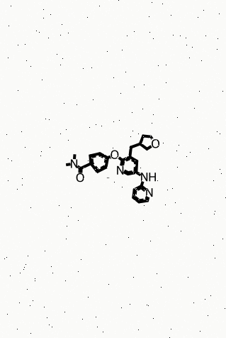 CN(C)C(=O)c1ccc(Oc2ncc(Nc3ccccn3)cc2CC2CCOC2)cc1